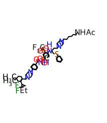 CCC1(C(F)F)CC1C1=C(CN2CCN(c3ccc(C(=O)NS(=O)(=O)c4ccc(NC(CCN5CCN(CCCCCCNC(C)=O)CC5)CSc5ccccc5)c(S(=O)(=O)C(F)(F)F)c4)cc3)CC2)CCC(C)(C)C1